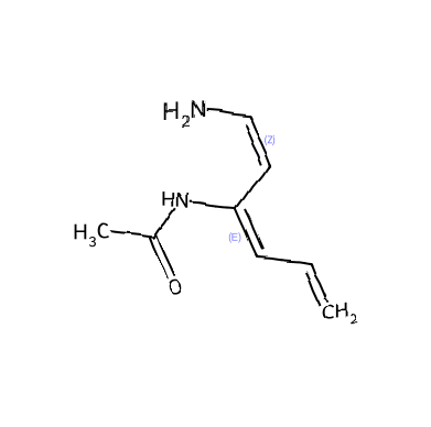 C=C/C=C(\C=C/N)NC(C)=O